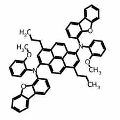 CCCc1cc(N(c2ccccc2OC)c2cccc3c2oc2ccccc23)c2ccc3c(CCC)cc(N(c4ccccc4OC)c4cccc5c4oc4ccccc45)c4ccc1c2c34